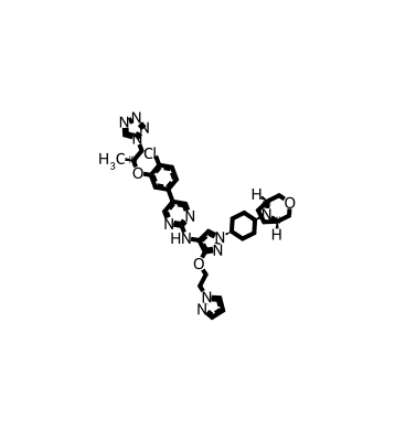 C[C@@H](Cn1cnnn1)Oc1cc(-c2cnc(Nc3cn([C@H]4CC[C@H](N5[C@@H]6CC[C@H]5COC6)CC4)nc3OCCn3cccn3)nc2)ccc1Cl